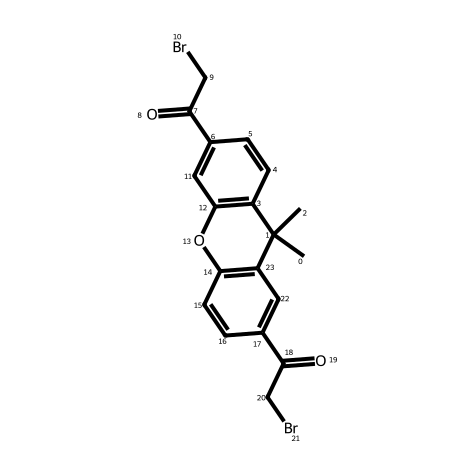 CC1(C)c2ccc(C(=O)CBr)cc2Oc2ccc(C(=O)CBr)cc21